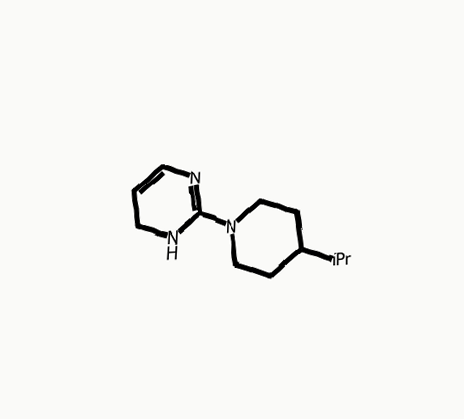 CC(C)C1CCN(C2=NC=CCN2)CC1